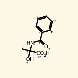 CC(O)(NC(=O)c1ccccc1)C(=O)O